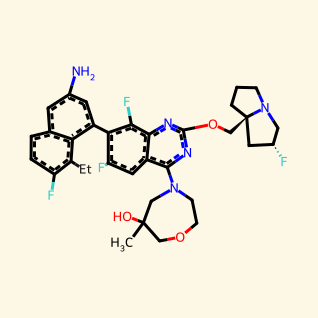 CCc1c(F)ccc2cc(N)cc(-c3c(F)cc4c(N5CCOCC(C)(O)C5)nc(OC[C@@]56CCCN5C[C@H](F)C6)nc4c3F)c12